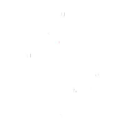 O=C1c2ccccc2C(=O)N1CCCCB1[C@H]2CCC[C@@H]1CCC2